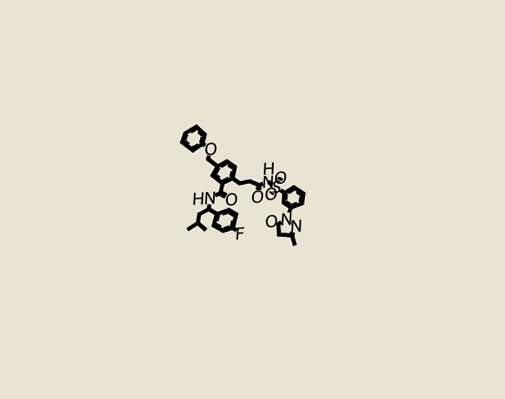 CC1=NN(c2cccc(S(=O)(=O)NC(=O)CCc3ccc(COc4ccccc4)cc3C(=O)NC(CC(C)C)c3ccc(F)cc3)c2)C(=O)C1